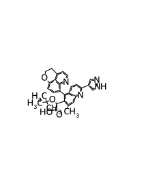 Cc1cc2nc(-c3cn[nH]c3)ccc2c(-c2ccc3c4c(ccnc24)CCO3)c1[C@H](OC(C)(C)C)C(=O)O